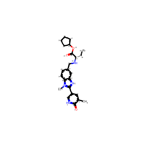 CCn1c(-c2c[nH]c(=O)c(C)c2)nc2cc(CN[C@@H](CC(C)C)C(=O)OC3CCCC3)ccc21